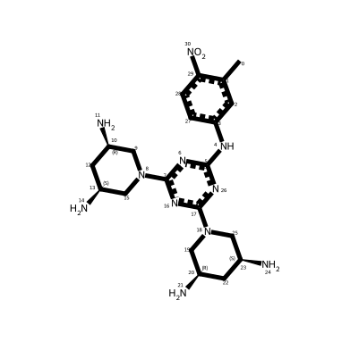 Cc1cc(Nc2nc(N3C[C@H](N)C[C@H](N)C3)nc(N3C[C@H](N)C[C@H](N)C3)n2)ccc1[N+](=O)[O-]